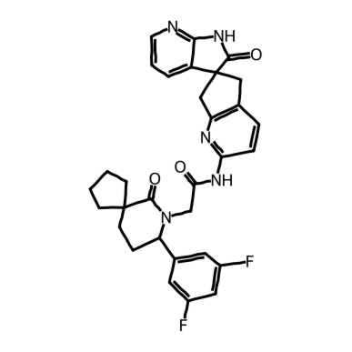 O=C(CN1C(=O)C2(CCCC2)CCC1c1cc(F)cc(F)c1)Nc1ccc2c(n1)CC1(C2)C(=O)Nc2ncccc21